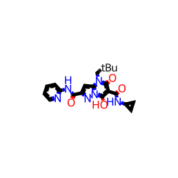 CC(C)(C)Cn1c(=O)c(C(=O)NC2CC2)c(O)n2nc(C(=O)Nc3ccccn3)cc12